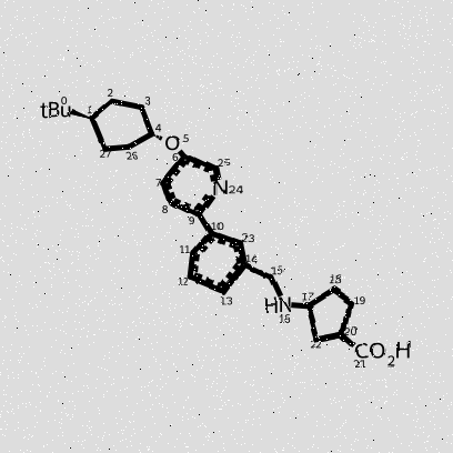 CC(C)(C)[C@H]1CC[C@H](Oc2ccc(-c3cccc(CNC4CCC(C(=O)O)C4)c3)nc2)CC1